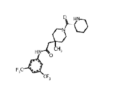 CC1(CC(=O)Nc2cc(C(F)(F)F)cc(C(F)(F)F)c2)CCN(C(=O)[C@H]2CCCCN2)CC1